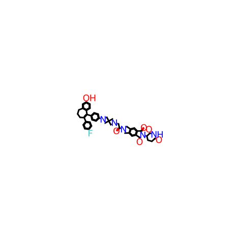 O=C1CCC(N2C(=O)c3cc4c(cc3C2=O)CN(C(=O)CN2CC3(C2)CN(c2ccc(C5=C(c6ccc(F)cc6)CCCc6cc(O)ccc65)cc2)C3)C4)C(=O)N1